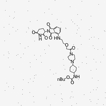 CCCCOC(=O)NC1CCC(N2CCN(C(=O)COCCNc3cccc4c3C(=O)N(C3CCC(=O)NC3=O)C4=O)CC2)CC1